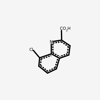 O=C(O)c1ccc2cccc(Cl)c2n1